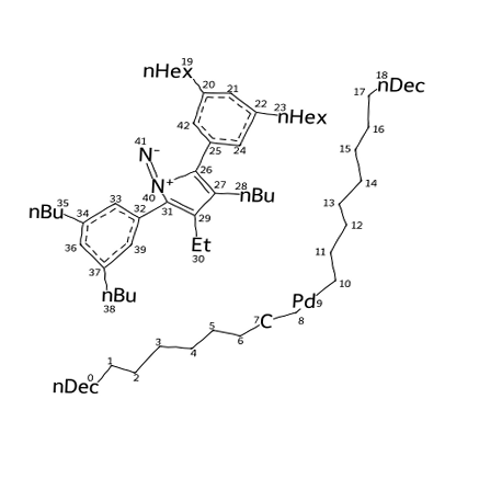 CCCCCCCCCCCCCCCCC[CH2][Pd][CH2]CCCCCCCCCCCCCCCCC.CCCCCCc1cc(CCCCCC)cc(C2=C(CCCC)C(CC)=C(c3cc(CCCC)cc(CCCC)c3)[N+]2=[N-])c1